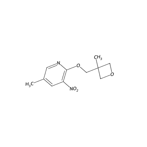 Cc1cnc(OCC2(C)COC2)c([N+](=O)[O-])c1